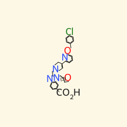 O=C(O)c1ccc2nc(CN3CC=C(c4cccc(OCc5ccc(Cl)cc5)n4)CC3)n(C[C@@H]3CCO3)c2c1